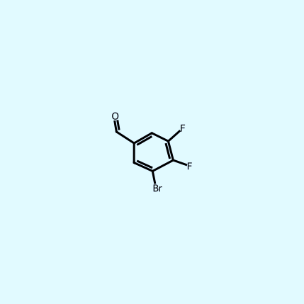 O=Cc1cc(F)c(F)c(Br)c1